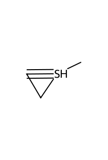 C[SH]1#CC1